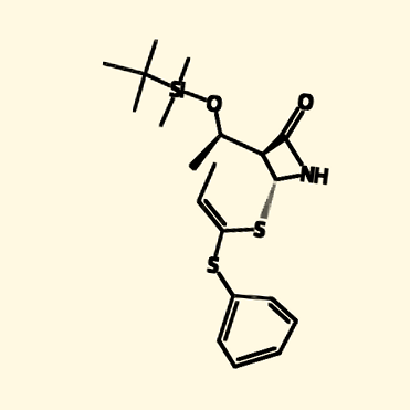 C/C=C(/Sc1ccccc1)S[C@H]1NC(=O)[C@@H]1[C@@H](C)O[Si](C)(C)C(C)(C)C